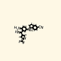 N#Cc1ccc2c(c1)CCC2Nc1ccc(N)c(C(=N)c2cnn(C(F)F)c2)c1